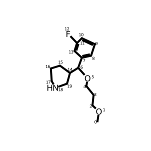 COCCCOC(c1cccc(F)c1)C1CCCNC1